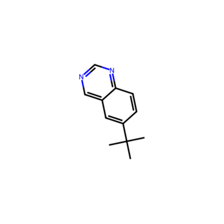 CC(C)(C)c1ccc2ncncc2c1